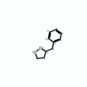 c1ccc(CC2CCOO2)cc1